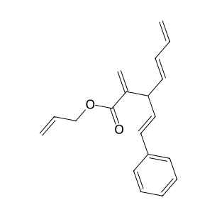 C=CC=CC(C=Cc1ccccc1)C(=C)C(=O)OCC=C